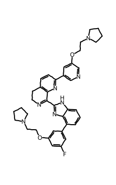 Fc1cc(OCCN2CCCC2)cc(-c2cccc3[nH]c(C4=NCCc5ccc(-c6cncc(OCCN7CCCC7)c6)nc54)nc23)c1